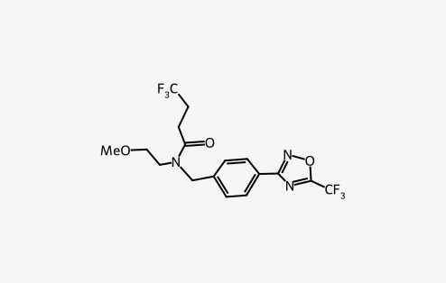 COCCN(Cc1ccc(-c2noc(C(F)(F)F)n2)cc1)C(=O)CCC(F)(F)F